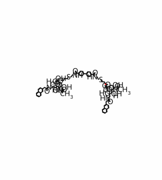 CC(=O)NC1[C@H]([C@H](O)[C@H](O)CNC(=O)Cc2ccc3ccccc3c2)O[C@@](OCCCSCCNC(=O)c2ccc(-c3ccc(C(=O)NCCSCCCO[C@]4(C(=O)O)C[C@H](O)[C@@H](NC(C)=O)[C@H]([C@H](O)[C@H](O)CNC(=O)Cc5ccc6ccccc6c5)O4)cc3)cc2)(C(=O)O)C[C@@H]1O